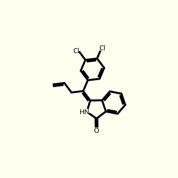 C=CCC(=C1NC(=O)c2ccccc21)c1ccc(Cl)c(Cl)c1